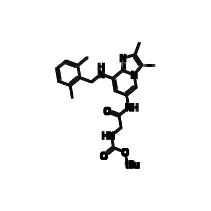 Cc1cccc(C)c1CNc1cc(NC(=O)CNC(=O)OC(C)(C)C)cn2c(C)c(C)nc12